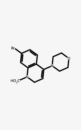 O=C(O)N1CC=C(N2CCOCC2)c2ccc(Br)cc21